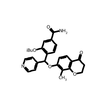 Cc1c(OC(c2ccncc2)c2ccc(C(N)=O)cc2OCC(C)C)ccc2c1OCCC2=O